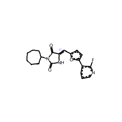 O=C1N/C(=C\c2ccc(-c3cccnc3F)o2)C(=O)N1C1CCCCCC1